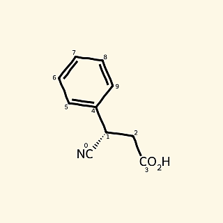 N#C[C@@H](CC(=O)O)c1ccccc1